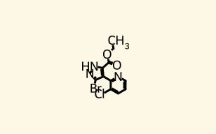 CCOC(=O)c1[nH]nc(Br)c1-c1ncccc1Cl